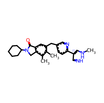 CN/C=C(\C=N)c1ccc(Cc2cc3c(c(C)c2C)CN(C2CCCCC2)C3=O)cn1